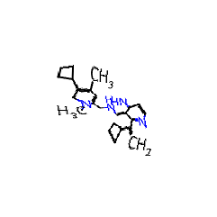 C=C(C1=NC=CC(=N)/C1=C\NCC1=CC(C)=C(C2CCC2)CN1C)C1CCC1